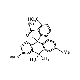 CCC(C)C(=O)c1c(C(=O)O)cccc1C1(C)c2ccc(NC)cc2C(C)(C)c2cc(NC)ccc21